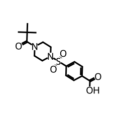 CC(C)(C)C(=O)N1CCN(S(=O)(=O)c2ccc(C(=O)O)cc2)CC1